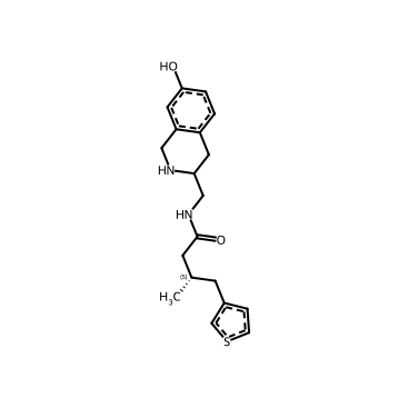 C[C@H](CC(=O)NCC1Cc2ccc(O)cc2CN1)Cc1ccsc1